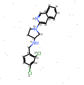 Clc1ccc(CNC2CCN(c3cc4ccccc4cn3)C2)c(Cl)c1